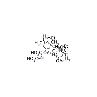 CCON1C(C)(C)CC(OC(C)=O)CC1(C)C.CCON1C(C)(C)CC(OC(C)=O)CC1(C)C.O=C(O)/C=C\C(=O)O